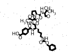 CC(C)[C@H](NC(=O)[C@H](CCCCNC(=O)OCc1ccccc1)NC(=O)c1ccc(C(=O)O)cc1)C(=O)N1CCC[C@H]1C(=O)N[C@H](C=O)C(C)C